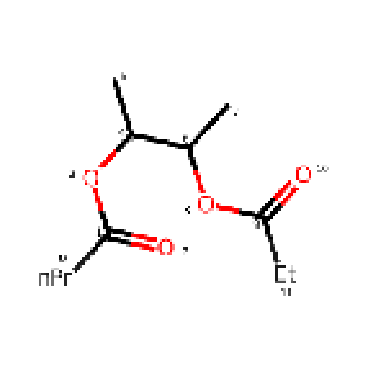 CCCC(=O)O[C](C)C(C)OC(=O)CC